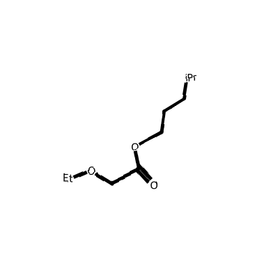 CCOCC(=O)OCCCC(C)C